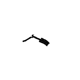 C#CSC